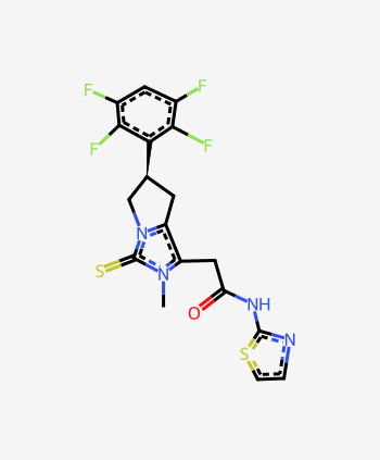 Cn1c(CC(=O)Nc2nccs2)c2n(c1=S)C[C@@H](c1c(F)c(F)cc(F)c1F)C2